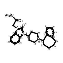 CNC(=O)Cn1c(=O)n(C2CCN(C3CCCCc4ccccc43)CC2)c2ccccc21